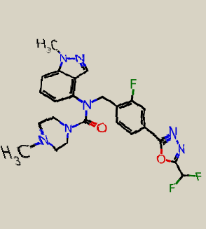 CN1CCN(C(=O)N(Cc2ccc(-c3nnc(C(F)F)o3)cc2F)c2cccc3c2cnn3C)CC1